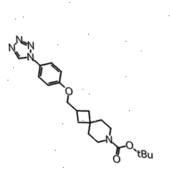 CC(C)(C)OC(=O)N1CCC2(CC1)CC(COc1ccc(-n3cnnn3)cc1)C2